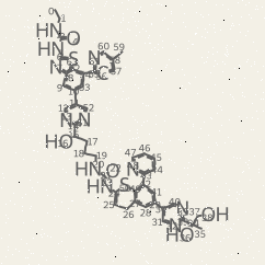 CCNC(=O)Nc1nc2cc(-c3cnc(C(O)CCCNC(=O)NC4=CCc5cc(-c6cnc(C(C)(O)CO)nc6)cc(-c6ccccn6)c5S4)nc3)cc(-c3ccc(C)cn3)c2s1